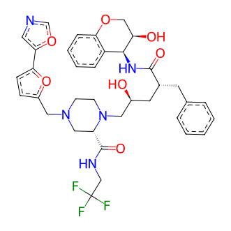 O=C(N[C@H]1c2ccccc2OC[C@H]1O)[C@H](Cc1ccccc1)C[C@H](O)CN1CCN(Cc2ccc(-c3cnco3)o2)C[C@H]1C(=O)NCC(F)(F)F